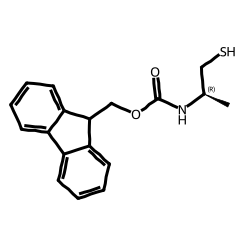 C[C@H](CS)NC(=O)OCC1c2ccccc2-c2ccccc21